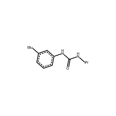 CC(C)NC(=O)Nc1cccc(C(C)(C)C)c1